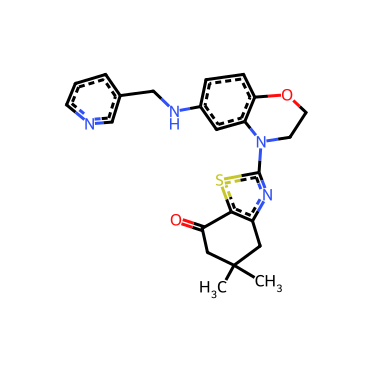 CC1(C)CC(=O)c2sc(N3CCOc4ccc(NCc5cccnc5)cc43)nc2C1